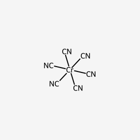 N#[C][Cr]([C]#N)([C]#N)([C]#N)([C]#N)[C]#N